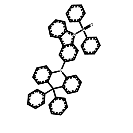 O=P(c1ccccc1)(c1ccccc1)n1c2ccccc2c2cc(N3c4ccccc4C(c4ccccc4)(c4ccccc4)c4ccccc43)ccc21